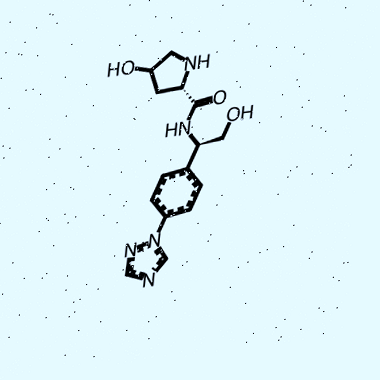 O=C(N[C@@H](CO)c1ccc(-n2cncn2)cc1)[C@@H]1CC(O)CN1